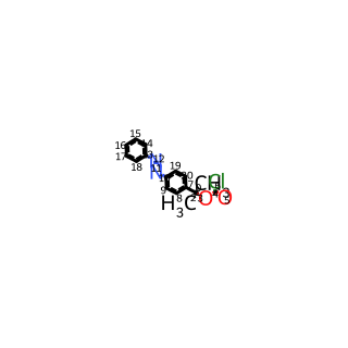 CC(C)(OC(=O)Cl)c1ccc(N=Nc2ccccc2)cc1